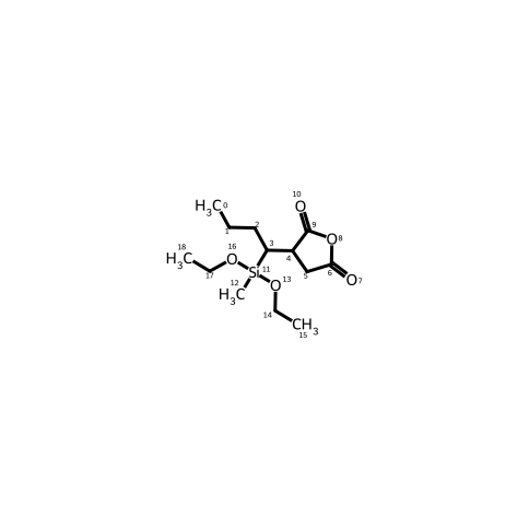 CCCC(C1CC(=O)OC1=O)[Si](C)(OCC)OCC